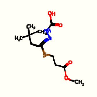 COC(=O)CCSC(CC(C)(C)C)=NNC(=O)O